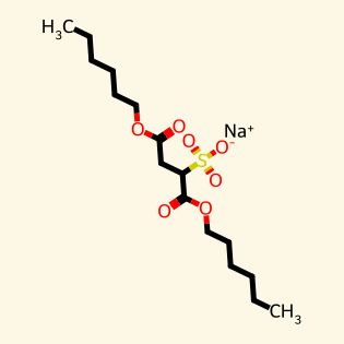 CCCCCCOC(=O)CC(C(=O)OCCCCCC)S(=O)(=O)[O-].[Na+]